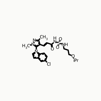 Cc1nn(C)c(-n2ccc3cc(Cl)ccc32)c1C=CC(=O)NS(=O)(=O)NCCCOC(C)C